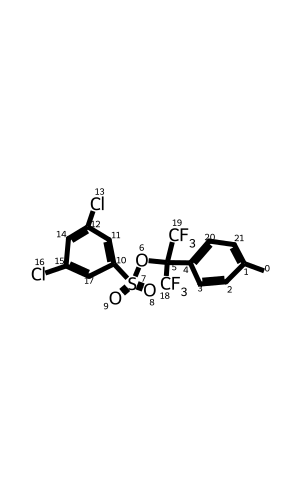 Cc1ccc(C(OS(=O)(=O)c2cc(Cl)cc(Cl)c2)(C(F)(F)F)C(F)(F)F)cc1